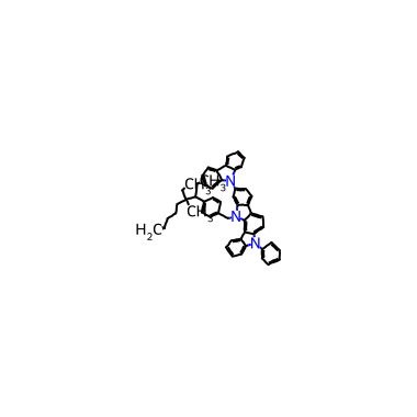 C=CCCCC(C)(CC)C(CC)c1ccc(Cn2c3cc(-n4c5ccccc5c5ccccc54)ccc3c3ccc4c(c5ccccc5n4-c4ccccc4)c32)cc1